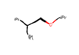 CC(C)OCC(C(C)C)C(C)C